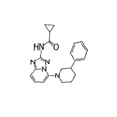 O=C(Nc1nc2cccc(N3CCCC(c4ccccc4)C3)n2n1)C1CC1